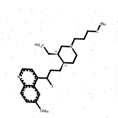 COc1ccc2nccc(C(F)CC[C@@H]3CCN(CCCSC(C)(C)C)C[C@@H]3CC(=O)O)c2c1